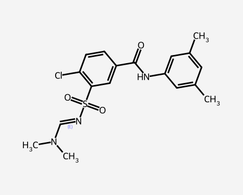 Cc1cc(C)cc(NC(=O)c2ccc(Cl)c(S(=O)(=O)/N=C/N(C)C)c2)c1